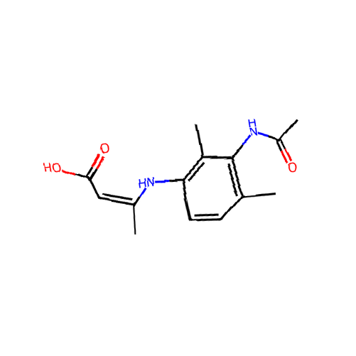 CC(=O)Nc1c(C)ccc(N/C(C)=C\C(=O)O)c1C